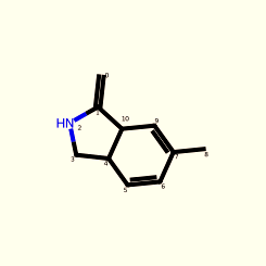 C=C1NCC2C=CC(C)=CC12